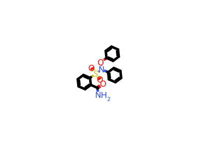 NC(=O)c1ccccc1S(=O)(=O)N(Oc1ccccc1)c1ccccc1